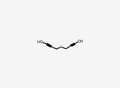 OC#CCSCC#CO